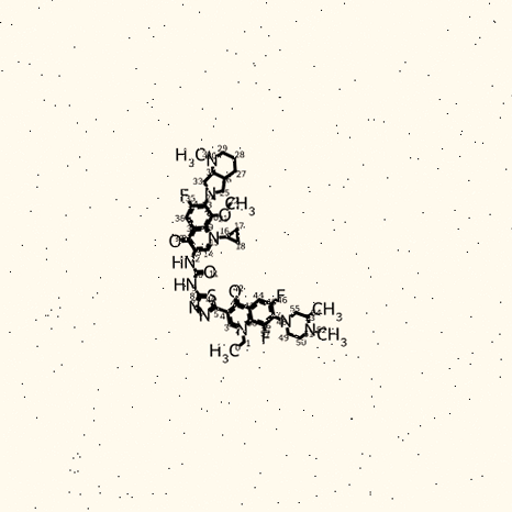 CCn1cc(-c2nnc(NC(=O)Nc3cn(C4CC4)c4c(OC)c(N5CC6CCCN(C)C6C5)c(F)cc4c3=O)s2)c(=O)c2cc(F)c(N3CCN(C)C(C)C3)c(F)c21